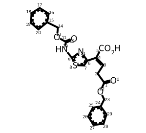 O=C(C/C=C(/C(=O)O)c1csc(NC(=O)OCc2ccccc2)n1)OCc1ccccc1